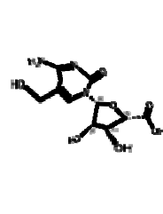 Nc1nc(=O)n([C@@H]2O[C@H](C(=O)O)[C@@H](O)[C@H]2O)cc1CO